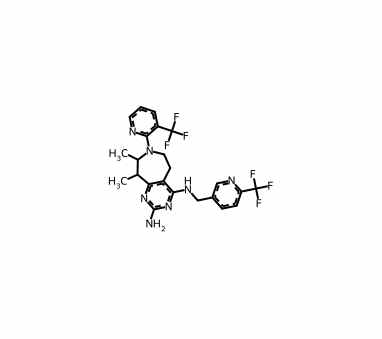 CC1c2nc(N)nc(NCc3ccc(C(F)(F)F)nc3)c2CCN(c2ncccc2C(F)(F)F)C1C